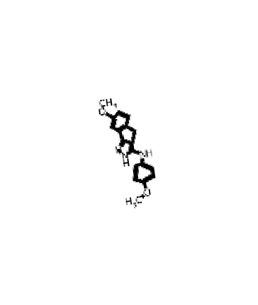 COc1ccc(Nc2[nH]nc3c2Cc2ccc(OC)cc2-3)cc1